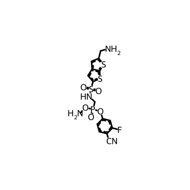 N#Cc1ccc(OP(=O)(CNS(=O)(=O)c2cc3cc(CN)sc3s2)ON)cc1F